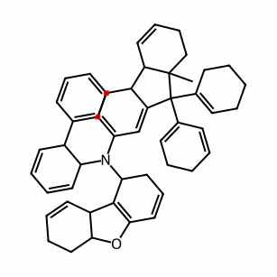 CC12CCC=CC1C1CC=C(N(C3CC=CC4=C3C3C=CCCC3O4)C3C=CC=CC3c3ccccc3)C=C1C2(C1=CCCC=C1)C1=CCCCC1